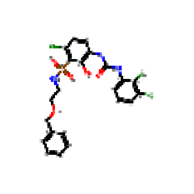 O=C(Nc1ccc(Cl)c(S(=O)(=O)NCCOCc2ccccc2)c1O)Nc1cccc(Cl)c1Cl